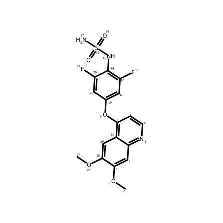 COc1cc2nccc(Oc3cc(F)c(NS(N)(=O)=O)c(F)c3)c2cc1OC